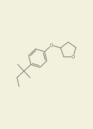 CCC(C)(C)c1ccc(OC2CCOC2)cc1